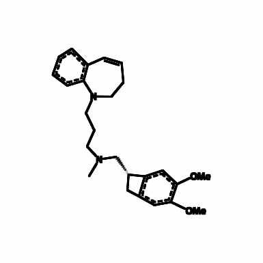 COc1cc2c(cc1OC)[C@@H](CN(C)CCCN1CCC=Cc3ccccc31)C2